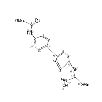 CCCCC(=O)Nc1ccc(-c2ccc(NC(NC#N)SC)cc2)cc1